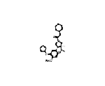 COc1ccc([C@@H]2CN(C(=O)CC3CCCCC3)C[C@@]2(C)[C@@H](C)O)cc1OC1CCCC1